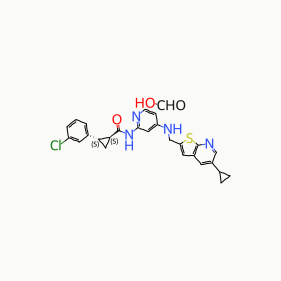 O=C(Nc1cc(NCc2cc3cc(C4CC4)cnc3s2)ccn1)[C@H]1C[C@@H]1c1cccc(Cl)c1.O=CO